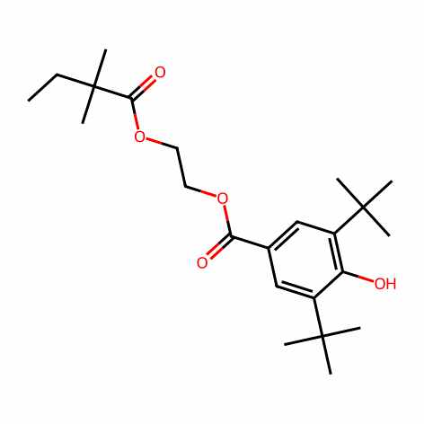 CCC(C)(C)C(=O)OCCOC(=O)c1cc(C(C)(C)C)c(O)c(C(C)(C)C)c1